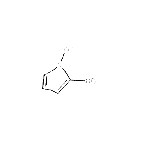 Cn1cccc1[N+](=O)[O-]